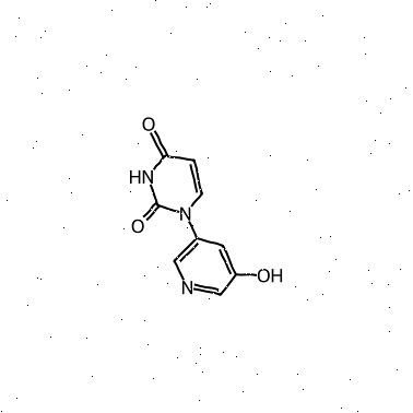 O=c1ccn(-c2cncc(O)c2)c(=O)[nH]1